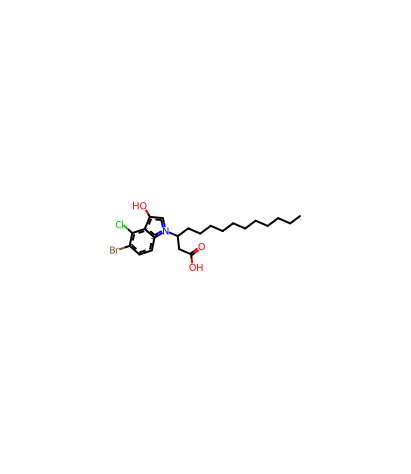 CCCCCCCCCCCC(CC(=O)O)n1cc(O)c2c(Cl)c(Br)ccc21